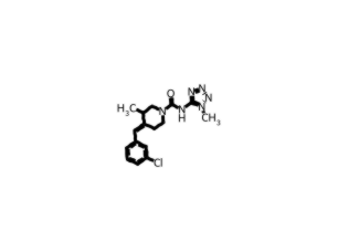 CC1CN(C(=O)Nc2nnnn2C)CCC1=Cc1cccc(Cl)c1